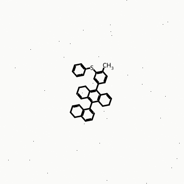 Cc1ccc(-c2c3c(c(-c4cccc5c4C=CCC5)c4c2CCC=C4)CCC=C3)cc1Sc1ccccc1